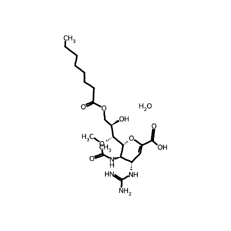 CCCCCCCC(=O)OC[C@@H](O)[C@@H](OC)[C@@H]1OC(C(=O)O)=C[C@H](NC(=N)N)[C@H]1NC(C)=O.O